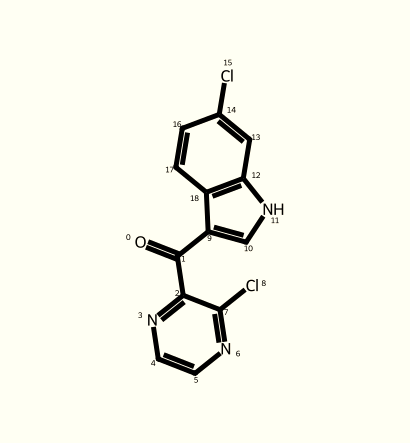 O=C(c1nccnc1Cl)c1c[nH]c2cc(Cl)ccc12